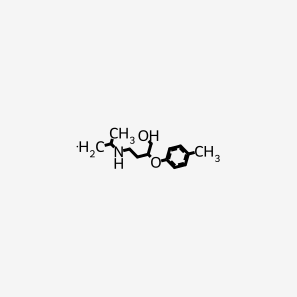 [CH2]C(C)NCCC(CO)Oc1ccc(C)cc1